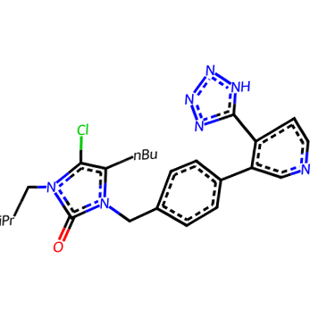 CCCCc1c(Cl)n(CC(C)C)c(=O)n1Cc1ccc(-c2cnccc2-c2nnn[nH]2)cc1